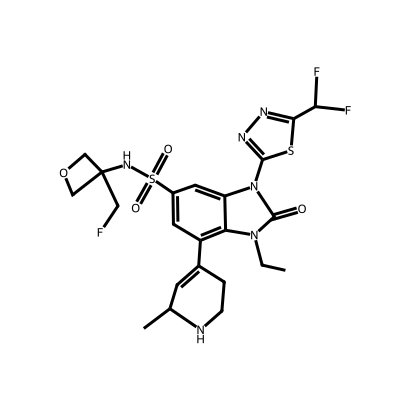 CCn1c(=O)n(-c2nnc(C(F)F)s2)c2cc(S(=O)(=O)NC3(CF)COC3)cc(C3=CC(C)NCC3)c21